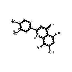 [2H]c1c(O)cc(O)c2c(=O)cc(-c3ccc(O)c(O)c3)oc12